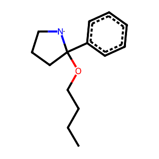 CCCCOC1(c2ccccc2)CCC[N]1